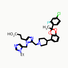 CCn1cncc1Cn1c(CCC(=O)O)cnc1CN1CCC(c2cccc3c2OC(C)(c2ccc(Cl)cc2F)O3)CC1